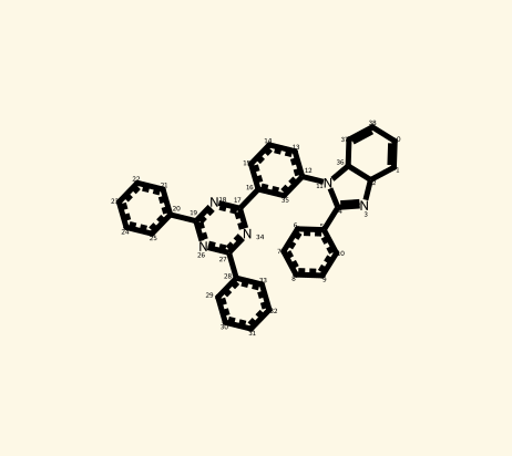 C1=CC2N=C(c3ccccc3)N(c3cccc(-c4nc(-c5ccccc5)nc(-c5ccccc5)n4)c3)C2C=C1